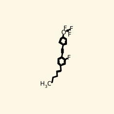 CCCC/C=C/c1ccc(C#Cc2ccc(OC(F)(F)F)cc2)c(F)c1